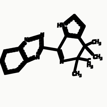 CC1(C)N=C(c2nnc3ccccc3n2)c2[nH]ccc2C1(C)C